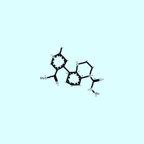 COC(=O)c1cnc(C)cc1-c1cccc2c1OCCN2C(=O)OC(C)(C)C